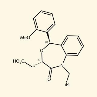 COc1ccccc1[C@@H]1O[C@@H](CC(=O)O)C(=O)N(CC(C)C)c2ccccc21